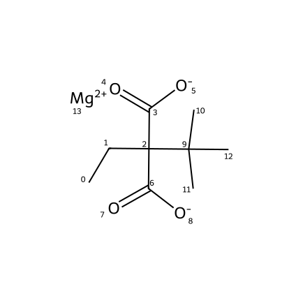 CCC(C(=O)[O-])(C(=O)[O-])C(C)(C)C.[Mg+2]